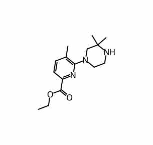 CCOC(=O)c1ccc(C)c(N2CCNC(C)(C)C2)n1